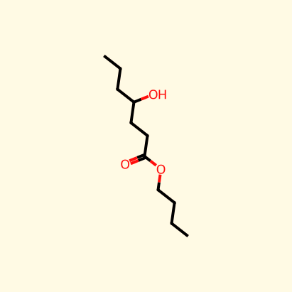 CCCCOC(=O)CCC(O)CCC